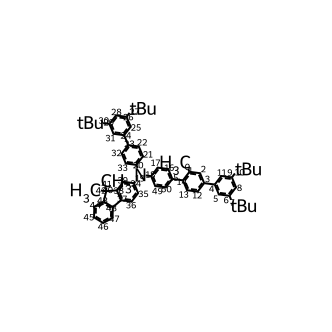 Cc1cc(-c2cc(C(C)(C)C)cc(C(C)(C)C)c2)ccc1-c1ccc(N(c2ccc(-c3cc(C(C)(C)C)cc(C(C)(C)C)c3)cc2)c2ccc3c(c2)C(C)(C)c2ccccc2-3)cc1